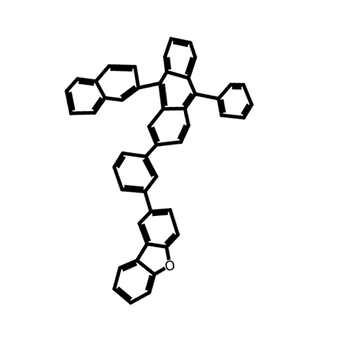 c1ccc(-c2c3ccccc3c(-c3ccc4ccccc4c3)c3cc(-c4cccc(-c5ccc6oc7ccccc7c6c5)c4)ccc23)cc1